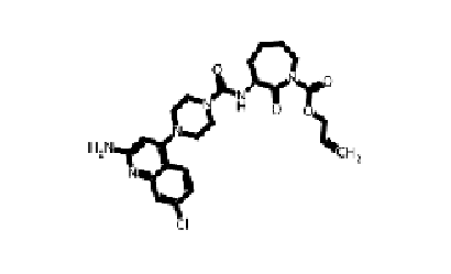 C=CCOC(=O)N1CCCC[C@H](NC(=O)N2CCN(c3cc(N)nc4cc(Cl)ccc34)CC2)C1=O